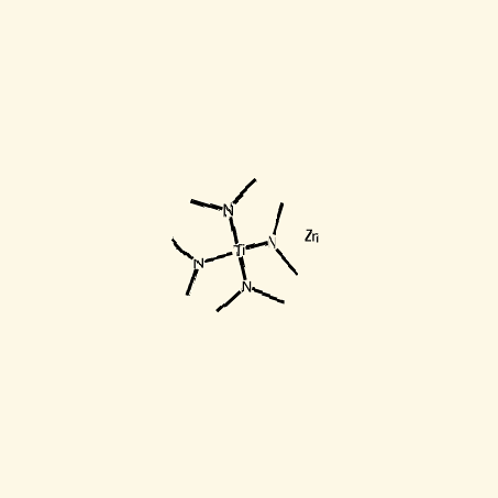 C[N](C)[Ti]([N](C)C)([N](C)C)[N](C)C.[Zn]